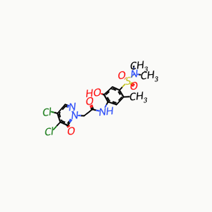 Cc1cc(NC(=O)Cn2ncc(Cl)c(Cl)c2=O)c(O)cc1S(=O)(=O)N(C)C